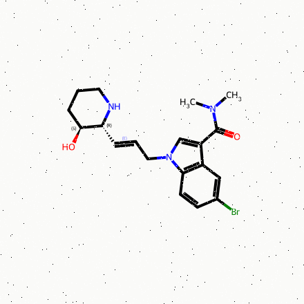 CN(C)C(=O)c1cn(C/C=C/[C@H]2NCCC[C@@H]2O)c2ccc(Br)cc12